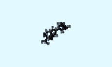 CC(C)c1ncc2cc(-c3cnn(C)c3)cn2n1